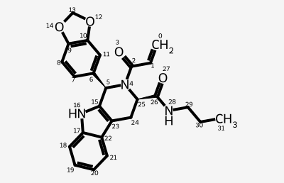 C=CC(=O)N1[C@H](c2ccc3c(c2)OCO3)c2[nH]c3ccccc3c2C[C@@H]1C(=O)NCCC